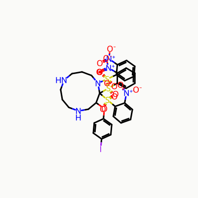 O=[N+]([O-])c1ccccc1S(=O)(=O)N1CCCNCCCNCC(Oc2ccc(I)cc2)C1(S(=O)(=O)c1ccccc1[N+](=O)[O-])S(=O)(=O)c1ccccc1[N+](=O)[O-]